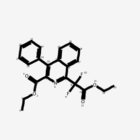 CCOC(=O)c1nc(C(F)(F)C(=O)OCC)c2ccccc2c1-c1ccccc1